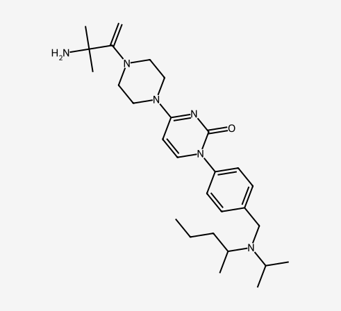 C=C(N1CCN(c2ccn(-c3ccc(CN(C(C)C)C(C)CCC)cc3)c(=O)n2)CC1)C(C)(C)N